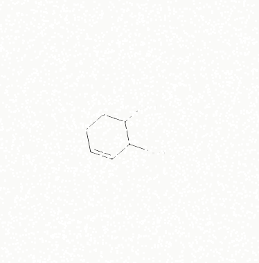 CCCCCC1C=CCCC1S(=O)(=O)O